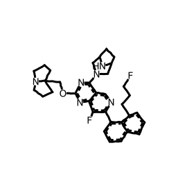 FCCCc1cccc2cccc(-c3ncc4c(N5CC6CCC(C5)N6)nc(OCC56CCCN5CCC6)nc4c3F)c12